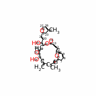 C=C1C[C@H](C)C[C@@H]2CC=C[C@@H](C/C=C\C(=O)O[C@H]([C@@H](O)/C=C/[C@@H]3CC(C)=CCO3)C[C@@H]3OC3[C@@H](O)C1)O2